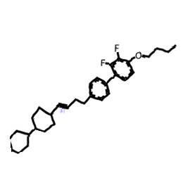 CCCCOc1ccc(-c2ccc(CC/C=C/C3CCC(C4CCC(C)CC4)CC3)cc2)c(F)c1F